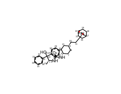 C[C@H](NC(=O)N[C@H]1CC[C@H](CCN2CC3CCC(CC3)C2)CC1)C(O)(c1ccccc1)c1ccccc1